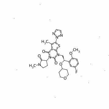 COc1ccc(F)cc1[C@H](Cn1c(=O)n(C2CCN(C)C2=O)c(=O)c2c(C)c(-n3nccn3)sc21)OC1CCOCC1